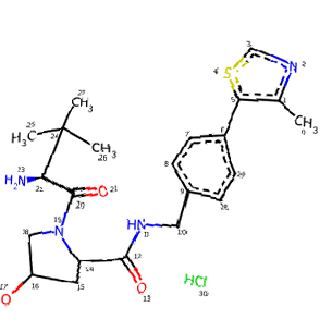 Cc1ncsc1-c1ccc(CNC(=O)C2CC(O)CN2C(=O)[C@@H](N)C(C)(C)C)cc1.Cl